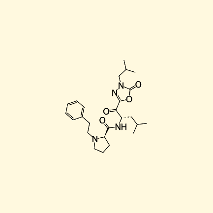 CC(C)C[C@H](NC(=O)[C@H]1CCCN1CCc1ccccc1)C(=O)c1nn(CC(C)C)c(=O)o1